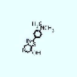 CN(C)c1ccc(C2NC3CN=CC(O)=C3S2)cc1